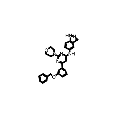 c1ccc(COc2cccc(-c3cc(Nc4ccc5[nH]ncc5c4)nc(N4CCOCC4)n3)c2)cc1